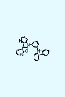 c1cc(-n2c3ccccc3c3ccccc32)cc(-n2c3cccnc3c3c4cccnc4oc32)c1